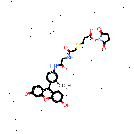 O=C(CSCCC(=O)ON1C(=O)CCC1=O)NCC(=O)Nc1ccc(-c2c3ccc(=O)cc-3oc3cc(O)ccc23)c(C(=O)O)c1